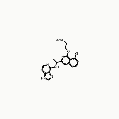 CC(=O)NCCOc1nc(C(C)Nc2ncnc3[nH]cnc23)cc2cccc(Cl)c12